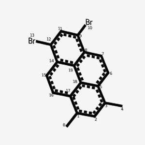 Cc1cc(C)c2ccc3c(Br)cc(Br)c4ccc1c2c43